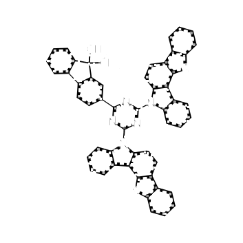 CC1(C)c2ccccc2-c2ccc(-c3nc(-n4c5ccccc5c5c6sc7ccccc7c6ccc54)nc(-n4c5ccccc5c5c6sc7ccccc7c6ccc54)n3)cc21